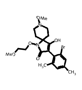 COCCON1C(=O)C(c2c(C)cc(C)cc2Br)=C(O)C12CCN(OC)CC2